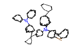 c1ccc(N(c2ccccc2)c2ccc(C3(c4ccc(N(c5ccc(C6CCCCC6)cc5)c5ccc6sc7ccccc7c6c5)cc4)CCCCC3)cc2)cc1